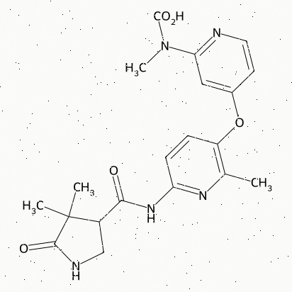 Cc1nc(NC(=O)C2CNC(=O)C2(C)C)ccc1Oc1ccnc(N(C)C(=O)O)c1